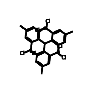 Cc1cc(C)c([C](c2c(C)cc(C)cc2C(Cl)Cl)c2c(C)cc(C)cc2C(Cl)Cl)c(C(Cl)Cl)c1